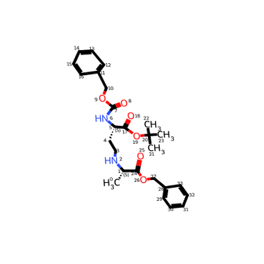 C[C@H](NCC[C@H](NC(=O)OCc1ccccc1)C(=O)OC(C)(C)C)C(=O)OCc1ccccc1